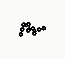 c1ccc(-c2ccc(-c3cccc4c3Cc3c-4cccc3-n3c4ccccc4c4c5c6ccccc6n(-c6ccc(-c7ccccc7)cc6)c5ccc43)cc2)cc1